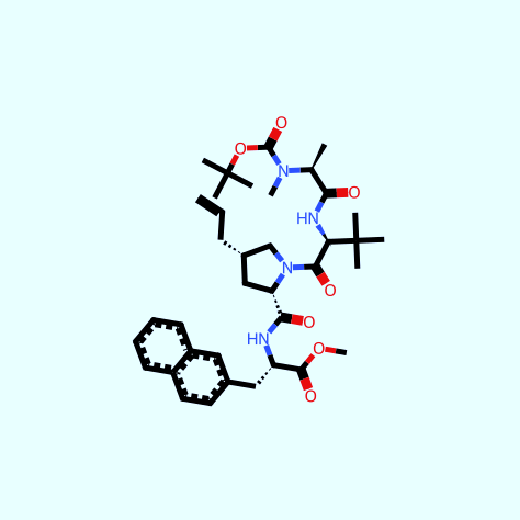 C=CC[C@H]1C[C@@H](C(=O)N[C@@H](Cc2ccc3ccccc3c2)C(=O)OC)N(C(=O)[C@@H](NC(=O)[C@H](C)N(C)C(=O)OC(C)(C)C)C(C)(C)C)C1